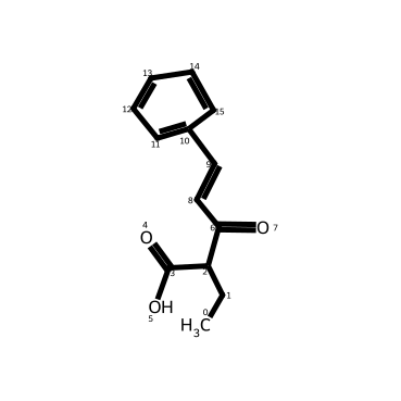 CCC(C(=O)O)C(=O)C=Cc1ccccc1